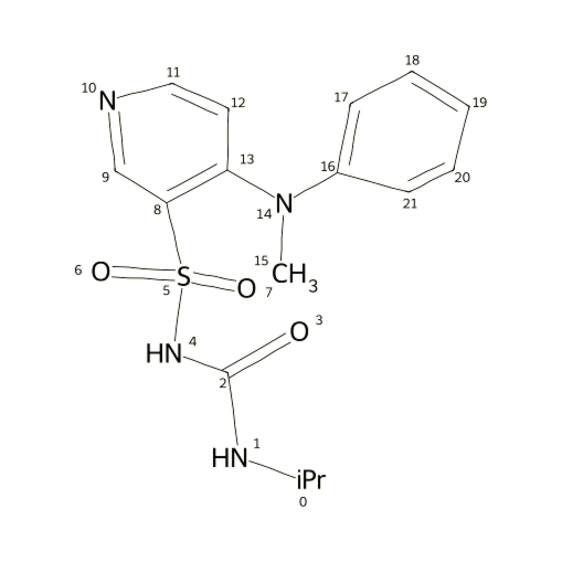 CC(C)NC(=O)NS(=O)(=O)c1cnccc1N(C)c1ccccc1